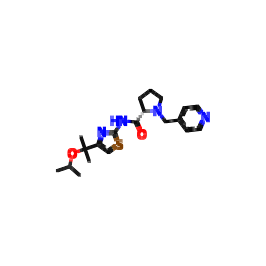 CC(C)OC(C)(C)c1csc(NC(=O)[C@@H]2CCCN2Cc2ccncc2)n1